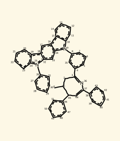 CC1CC(c2cccc(-n3c4ccccc4c4cc5c6ccccc6n(-c6ccccc6)c5cc43)c2)=NC(c2ccccc2)=CC1c1ccccc1